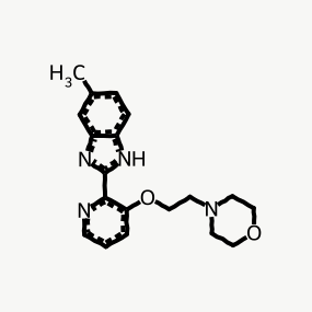 Cc1ccc2[nH]c(-c3ncccc3OCCN3CCOCC3)nc2c1